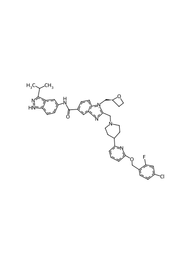 CC(C)c1n[nH]c2ccc(NC(=O)c3ccc4c(c3)nc(CN3CCC(c5cccc(OCc6ccc(Cl)cc6F)n5)CC3)n4C[C@@H]3CCO3)cc12